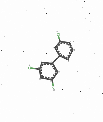 Clc1cccc(-c2cc(Cl)cc(Cl)c2)c1